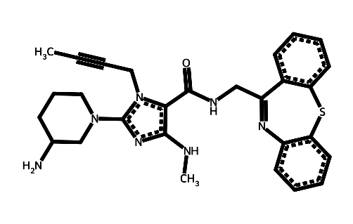 CC#CCn1c(N2CCCC(N)C2)nc(NC)c1C(=O)NCC1=Nc2ccccc2Sc2ccccc21